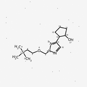 C[Si](C)(C)CCOCn1ncc(C2CCCC2O)n1